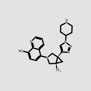 N#Cc1ccc(N2C[C@]3(c4cn(C5CCNCC5)nn4)C[C@]3(C(F)(F)F)C2)c2cccnc12